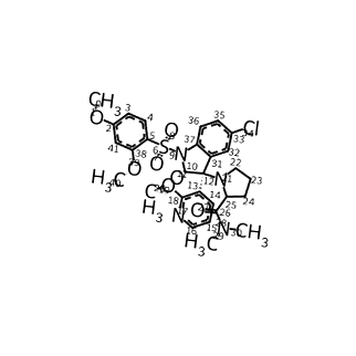 COc1ccc(S(=O)(=O)N2C(=O)[C@](c3cccnc3OC)(N3CCCC3C(=O)N(C)C)c3cc(Cl)ccc32)c(OC)c1